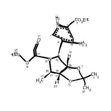 CCOC(=O)c1[nH]cc([C@H]2[C@@H]3OC(C)(C)O[C@@H]3[C@@H](C)N2C(=O)OC(C)(C)C)c1N